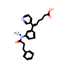 CN(C(=O)CCc1ccccc1)c1cccc(/C(=C/CCCC(=O)O)c2cccnc2)c1